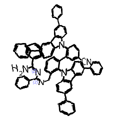 N#Cc1ccc(-n2c3ccc(-c4ccccc4)cc3c3cc(-c4ccccc4)ccc32)c(-c2cccc(C/N=C(\N=C(/N)c3ccccc3)c3ccccc3)c2-n2c3ccc(-c4ccccc4)cc3c3cc(-c4ccccc4)ccc32)c1